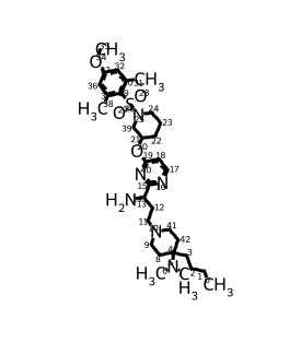 CCCCC1(N(C)C)CCN(CCC(N)c2nccc(OC3CCCN(S(=O)(=O)c4c(C)cc(OC)cc4C)C3)n2)CC1